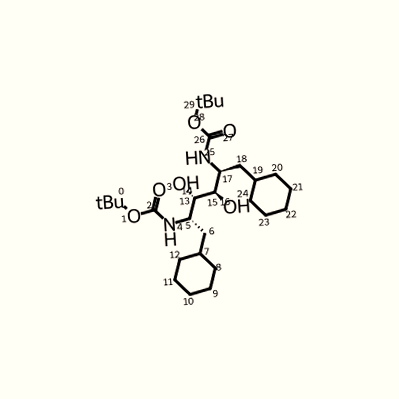 CC(C)(C)OC(=O)N[C@@H](CC1CCCCC1)[C@H](O)[C@H](O)[C@H](CC1CCCCC1)NC(=O)OC(C)(C)C